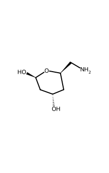 NC[C@H]1C[C@H](O)C[C@@H](O)O1